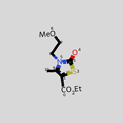 CCOC(=O)c1sc(=O)n(CCOC)c1C